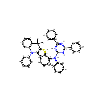 CC1(C)c2ccccc2N(c2ccccc2)c2c1sc1c2ccc2c3ccccc3n(-c3nc(-c4ccccc4)nc(-c4ccccc4)n3)c21